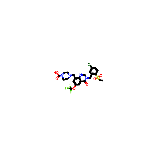 CCS(=O)(=O)c1ccc(Cl)cc1Cn1cnc2c(CN3CCN(C(=O)O)CC3)cc(OC(F)(F)F)cc2c1=O